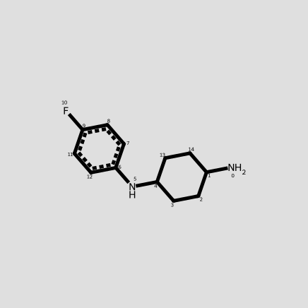 NC1CCC(Nc2ccc(F)cc2)CC1